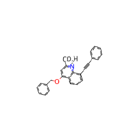 O=C(O)c1cc(OCc2ccccc2)c2cccc(C#Cc3ccccc3)c2n1